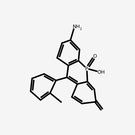 C=c1ccc2c(c1)P(=O)(O)c1cc(N)ccc1C=2c1ccccc1C